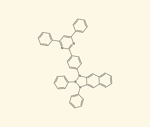 c1ccc(B2N(c3ccccc3)c3cc4ccccc4cc3N2c2ccc(-c3nc(-c4ccccc4)cc(-c4ccccc4)n3)cc2)cc1